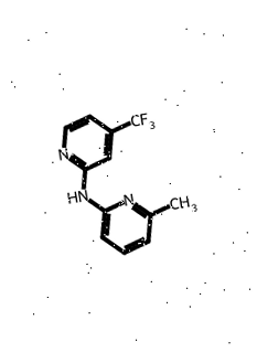 Cc1cccc(Nc2cc(C(F)(F)F)ccn2)n1